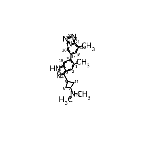 Cc1cc2c(C3CC(N(C)C)C3)n[nH]c2cc1-c1cc(C)c2ncnn2c1